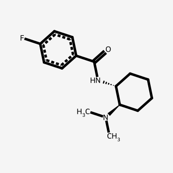 CN(C)[C@@H]1CCCC[C@H]1NC(=O)c1ccc(F)cc1